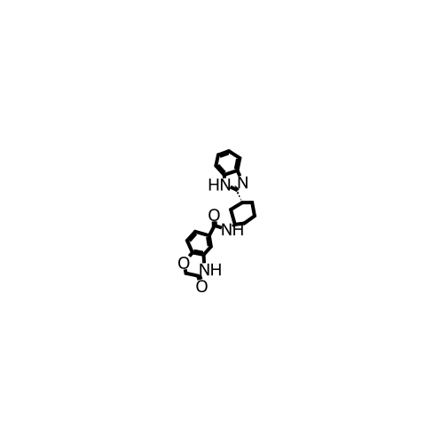 O=C1COc2ccc(C(=O)N[C@@H]3CCC[C@@H](c4nc5ccccc5[nH]4)C3)cc2N1